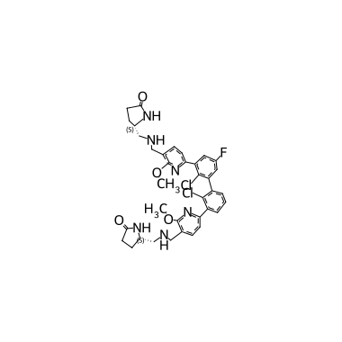 COc1nc(-c2cccc(-c3cc(F)cc(-c4ccc(CNC[C@@H]5CCC(=O)N5)c(OC)n4)c3Cl)c2Cl)ccc1CNC[C@@H]1CCC(=O)N1